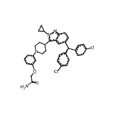 NC(=O)COc1cccc(N2CCC(c3c4cc(C(c5ccc(Cl)cc5)c5ccc(Cl)cc5)ccc4nn3C3CC3)CC2)c1